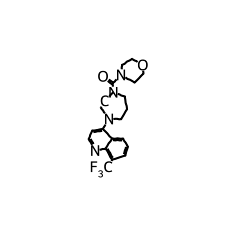 O=C(N1CCOCC1)N1CCCN(c2ccnc3c(C(F)(F)F)cccc23)CC1